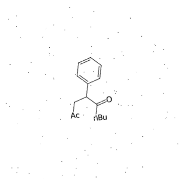 CCCCC(=O)C(CC(C)=O)c1ccccc1